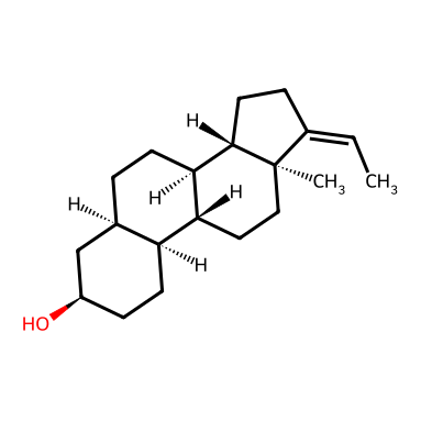 C/C=C1/CC[C@H]2[C@@H]3CC[C@@H]4C[C@H](O)CC[C@@H]4[C@H]3CC[C@]12C